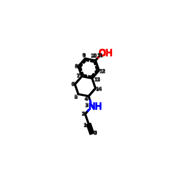 C#CCNC1CCc2ccc(O)cc2C1